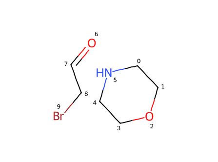 C1COCCN1.O=CCBr